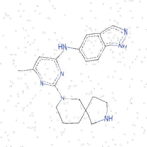 Cc1cc(Nc2ccc3[nH]ncc3c2)nc(N2CCCC3(CCNC3)C2)n1